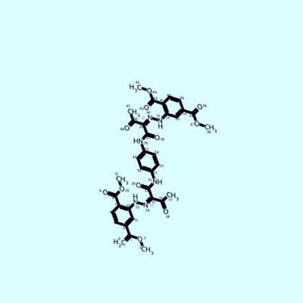 C=C(OC)c1ccc(C(=O)OC)c(N/N=C(/C(C)=O)C(=O)Nc2ccc(NC(=O)/C(=N\Nc3cc(C(=O)OC)ccc3C(=O)OC)C(C)=O)cc2)c1